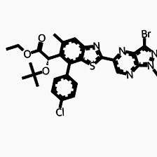 CCOC(=O)[C@@H](OC(C)(C)C)c1c(C)cc2nc(-c3cnc4c(n3)c(Br)nn4C)sc2c1-c1ccc(Cl)cc1